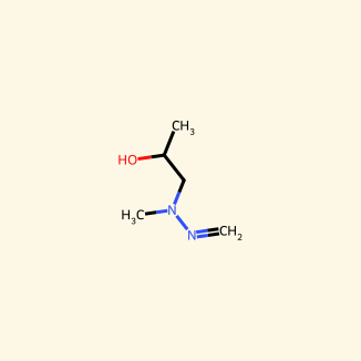 C=NN(C)CC(C)O